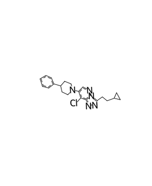 Clc1c(N2CCC(c3ccccc3)CC2)cnn2c(CCC3CC3)nnc12